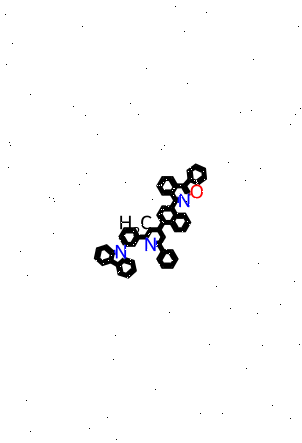 C=C1C(c2ccc(-c3nc4oc5ccccc5c4c4ccccc34)c3ccccc23)CC(c2ccccc2)=NC1c1cccc(-n2c3ccccc3c3ccccc32)c1